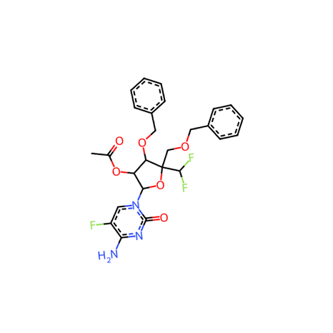 CC(=O)OC1C(n2cc(F)c(N)nc2=O)OC(COCc2ccccc2)(C(F)F)C1OCc1ccccc1